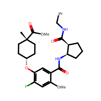 COc1cc(F)c(O[C@H]2CC[C@@](C)(C(=O)OC)CC2)cc1C(=O)N[C@@H]1CCC[C@@H]1C(=O)NCC(C)C